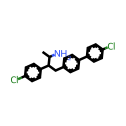 CC(N)C(Cc1ccc(-c2ccc(Cl)cc2)cc1)c1ccc(Cl)cc1